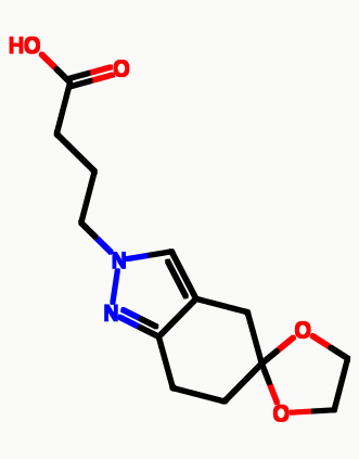 O=C(O)CCCn1cc2c(n1)CCC1(C2)OCCO1